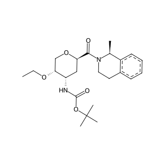 CCO[C@@H]1CO[C@@H](C(=O)N2CCc3ccccc3[C@@H]2C)C[C@@H]1NC(=O)OC(C)(C)C